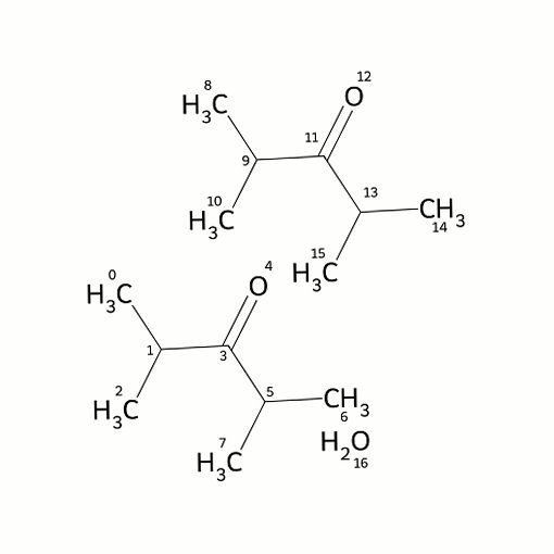 CC(C)C(=O)C(C)C.CC(C)C(=O)C(C)C.O